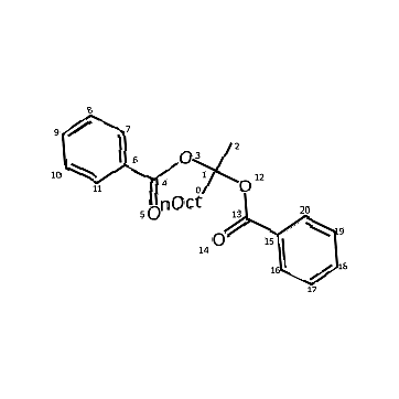 CCCCCCCCC(C)(OC(=O)c1ccccc1)OC(=O)c1ccccc1